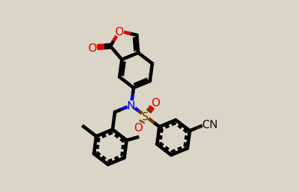 Cc1cccc(C)c1CN(C1=CCC2=COC(=O)C2=C1)S(=O)(=O)c1cccc(C#N)c1